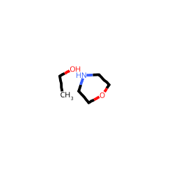 C1COCCN1.CCO